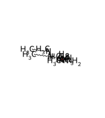 CCCCCCCCCCCCN(CC)CCCN(CCCCCCCCCCCC)CCCCCC(=O)OC(C)(C)Cn1c(CNCC)nc2c(N)nc3ccccc3c21